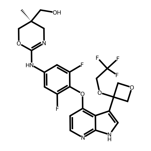 C[C@]1(CO)CN=C(Nc2cc(F)c(Oc3ccnc4[nH]cc(C5(OCC(F)(F)F)COC5)c34)c(F)c2)OC1